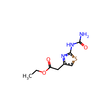 CCOC(=O)Cc1csc(NC(N)=O)n1